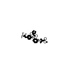 CCC1(CC)Oc2cc(CC(F)(F)F)ccc2N(c2cccc(N3CC(C(=O)OC)C3)c2)C1=O